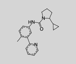 Cc1ccc(NC(=O)N2CCCC2C2CC2)cc1-c1ccccn1